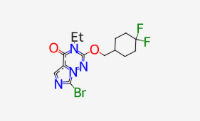 CCn1c(OCC2CCC(F)(F)CC2)nn2c(Br)ncc2c1=O